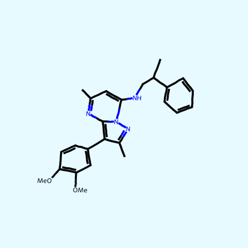 COc1ccc(-c2c(C)nn3c(NCC(C)c4ccccc4)cc(C)nc23)cc1OC